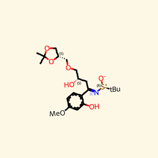 COc1ccc(/C(C[C@H](O)COC[C@H]2COC(C)(C)O2)=N/[S@@+]([O-])C(C)(C)C)c(O)c1